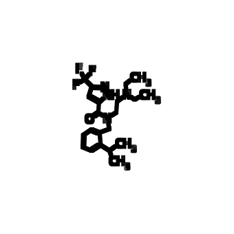 CCN(CC)CCN(Cc1ccccc1C(C)C)C(=O)c1cc(C(F)(F)F)n[nH]1